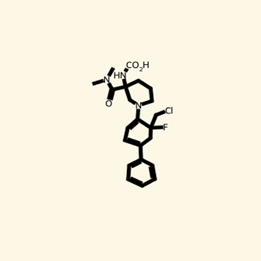 CN(C)C(=O)C1(NC(=O)O)CCCN(C2=CC=C(c3ccccc3)CC2(F)CCl)C1